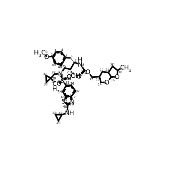 COc1ccc(C[C@H](NC(=O)OCC2COC3OC(C)CC3C2)[C@H](O)CN(CC2(C)CC2)S(=O)(=O)c2ccc3nc(NC4CC4)sc3c2)cc1